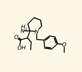 CCC(C(=O)O)C1(N)CCCCN1Cc1ccc(OC)cc1